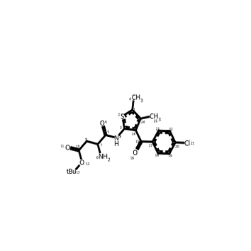 Cc1sc(NC(=O)C(N)CC(=O)OC(C)(C)C)c(C(=O)c2ccc(Cl)cc2)c1C